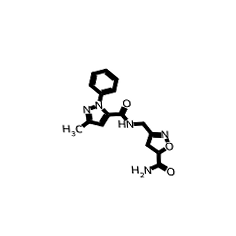 Cc1cc(C(=O)NCC2=NOC(C(N)=O)C2)n(-c2ccccc2)n1